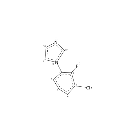 Fc1c(Cl)cccc1-n1ccnc1